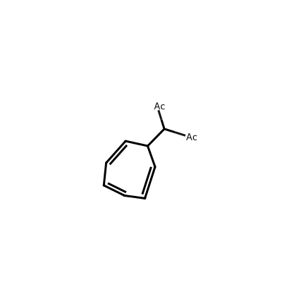 CC(=O)C(C(C)=O)C1C=CC=CC=C1